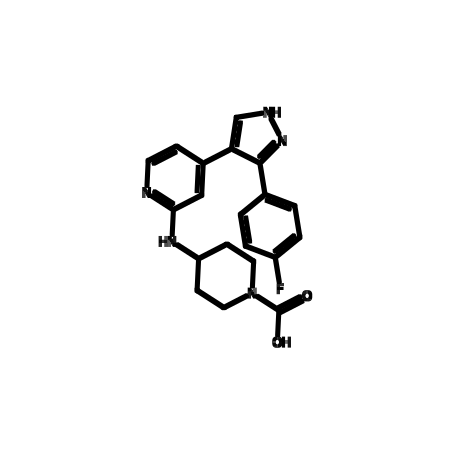 O=C(O)N1CCC(Nc2cc(-c3c[nH]nc3-c3ccc(F)cc3)ccn2)CC1